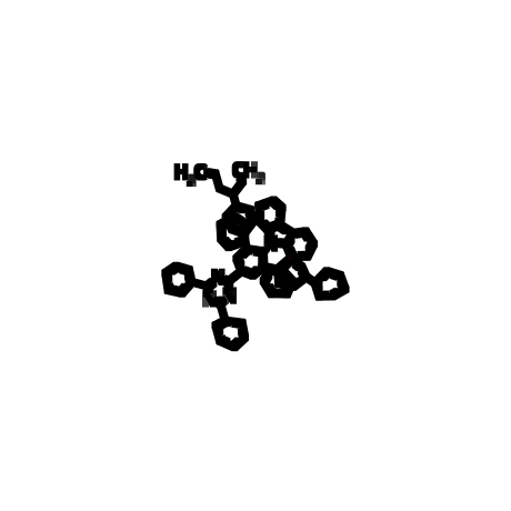 C=CCC(C=C)c1ccc(-c2cc(-c3nc(-c4ccccc4)nc(-c4ccccc4)n3)cc(-c3ccc(-c4ccccc4)cc3)c2-n2c3c(-c4ccccc4)cccc3c3cccc(-c4ccccc4)c32)cc1